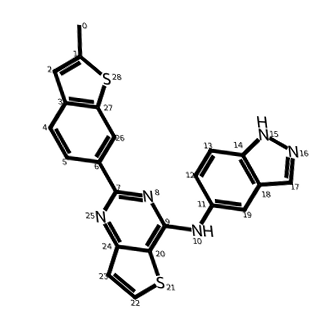 Cc1cc2ccc(-c3nc(Nc4ccc5[nH]ncc5c4)c4sccc4n3)cc2s1